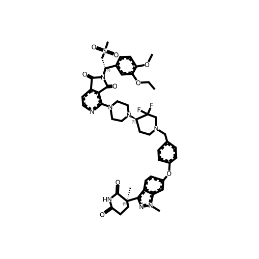 CCOc1cc([C@@H](CS(C)(=O)=O)N2C(=O)c3ccnc(N4CCN([C@@H]5CCN(Cc6ccc(Oc7ccc8c([C@@]9(C)CCC(=O)NC9=O)nn(C)c8c7)cc6)CC5(F)F)CC4)c3C2=O)ccc1OC